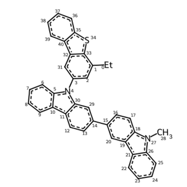 CCc1cc(-n2c3ccccc3c3ccc(-c4ccc5c(c4)c4ccccc4n5C)cc32)cc2c1sc1ccccc12